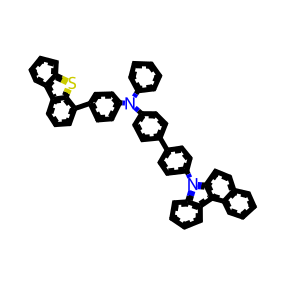 c1ccc(N(c2ccc(-c3ccc(-n4c5ccccc5c5c6ccccc6ccc54)cc3)cc2)c2ccc(-c3cccc4c3sc3ccccc34)cc2)cc1